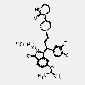 CC(C)Oc1ccc2c(c1)C(C(CCN1CCC(N3CCCNC3=O)CC1)c1ccc(Cl)c(Cl)c1)N(C)C2=O.Cl